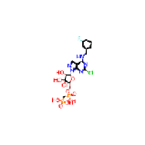 O=P(O)(O)CP(=O)(O)OC[C@H]1O[C@@H](n2ncc3c(NCc4cccc(F)c4)nc(Cl)nc32)[C@H](O)C1(O)O